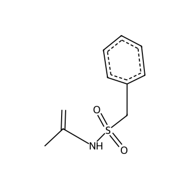 C=C(C)NS(=O)(=O)Cc1ccccc1